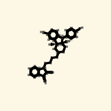 O=C1C(=O)N(CCCCN2CC[C@@H]3[C@@H](C2)c2cc(F)ccc2N3c2ccc(F)cc2)c2ccccc21